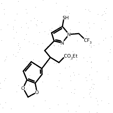 CCOC(=O)CC(Cc1cc(S)n(CC(F)(F)F)n1)c1ccc2c(c1)OCO2